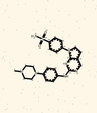 CN1CCN(c2ccc(Nc3ncc4ccn(-c5ccc(S(N)(=O)=O)cc5)c4n3)cc2)CC1